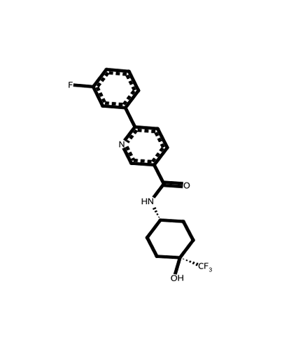 O=C(N[C@H]1CC[C@@](O)(C(F)(F)F)CC1)c1ccc(-c2cccc(F)c2)nc1